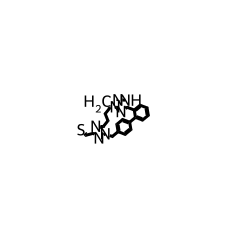 C=CCCc1nc(C=S)nn1Cc1ccc(-c2ccccc2-c2nnn[nH]2)cc1